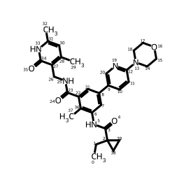 CCC1(C(=O)Nc2cc(-c3ccc(N4CCOCC4)nc3)cc(C(=O)NCc3c(C)cc(C)[nH]c3=O)c2C)CC1